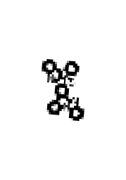 S=P(c1ccccc1)(c1cnc2ccccc2c1)c1ccc2c3ccccc3n3c4ccccc4nc3c2c1